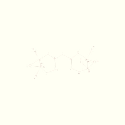 C1C[C@H]2O[C@H]2CC1CC1CC[C@@H]2O[C@@H]2C1